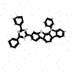 c1ccc(-c2nc(-c3ccccc3)nc(-c3ccc4c(c3)oc3c4ccc4c5ccccc5n(-c5ccccc5)c43)n2)cc1